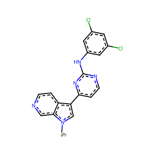 CC(C)n1cc(-c2ccnc(Nc3cc(Cl)cc(Cl)c3)n2)c2ccncc21